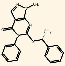 C[C@@H](Sc1nc2c(cnn2C)c(=O)n1-c1ccccc1)c1ccccc1